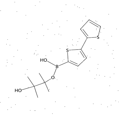 CC(C)(O)C(C)(C)OB(O)c1ccc(-c2cccs2)s1